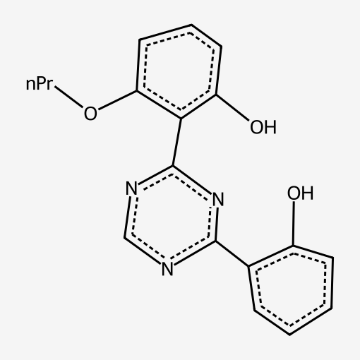 CCCOc1cccc(O)c1-c1ncnc(-c2ccccc2O)n1